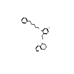 Cl.Cl.O=C(O)c1ccc2c(n1)CCCC2NCCc1ccccc1OCCCCCc1ccccc1